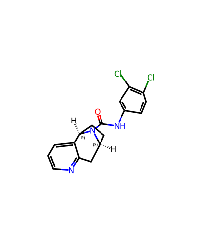 O=C(Nc1ccc(Cl)c(Cl)c1)N1[C@H]2CC[C@@H]1c1cccnc1C2